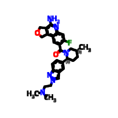 C[C@@H]1CC[C@@H](c2ccc3nn(CCN(C)C)cc3c2)N(C(=O)c2cc3c4c(c(N)nc3cc2F)COC4)C1